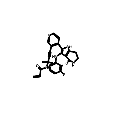 C=CC(=O)NC(C)(C)C#Cc1cnccc1-c1[nH]c2c(c1Nc1cccc(F)c1C)C(=O)NCC2